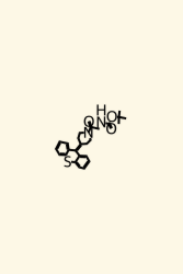 CC(C)(C)OC(=O)NCC(=O)N1CCC(=C2c3ccccc3Sc3ccccc32)CC1